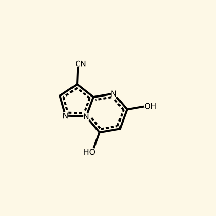 N#Cc1cnn2c(O)cc(O)nc12